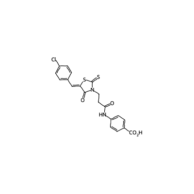 O=C(CCN1C(=O)/C(=C/c2ccc(Cl)cc2)SC1=S)Nc1ccc(C(=O)O)cc1